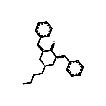 CCCCN1C/C(=C/c2ccccc2)C(=O)/C(=C/c2ccccc2)C1